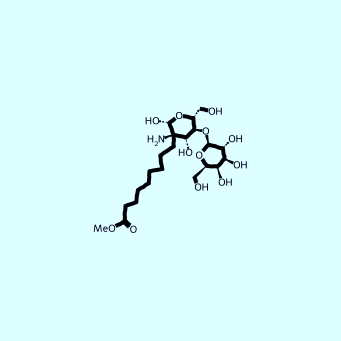 COC(=O)CCCCCCCC[C@]1(N)[C@H](O)O[C@H](CO)[C@@H](O[C@@H]2O[C@H](CO)[C@H](O)[C@H](O)[C@H]2O)[C@@H]1O